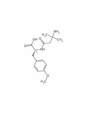 COc1ccc(C[C@H](NC(=O)CC(C)(C)N)C(=O)O)cc1